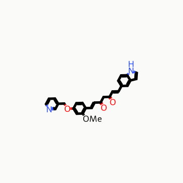 COc1cc(OCc2cccnc2)ccc1C=CC(=O)CC(=O)C=Cc1ccc2[nH]ccc2c1